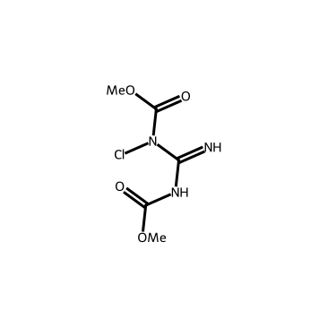 COC(=O)NC(=N)N(Cl)C(=O)OC